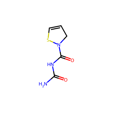 NC(=O)NC(=O)N1CC=CS1